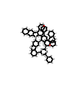 c1ccc(-c2cc(-c3ccccc3)cc(-c3cc4c(cc3-n3c5cc6ccccc6cc5c5c6ccccc6ccc53)oc3cccc(-c5nc(-c6ccccc6)nc(-c6ccc7c(ccc8ccccc87)c6)n5)c34)c2)cc1